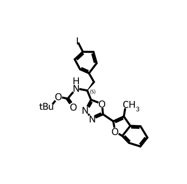 Cc1c(-c2nnc([C@H](Cc3ccc(I)cc3)NC(=O)OC(C)(C)C)o2)oc2ccccc12